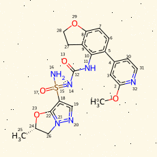 COc1cc(-c2ccc3c(c2NC(=O)N=S(N)(=O)c2cnn4c2O[C@@H](C)C4)CCO3)ccn1